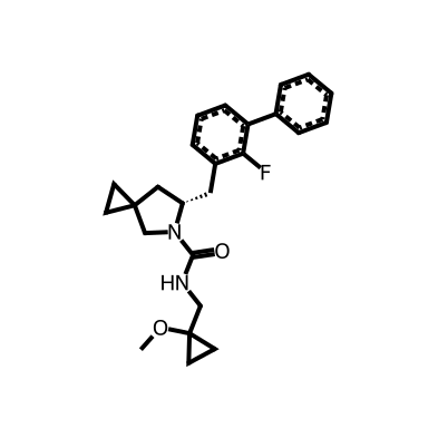 COC1(CNC(=O)N2CC3(CC3)C[C@@H]2Cc2cccc(-c3ccccc3)c2F)CC1